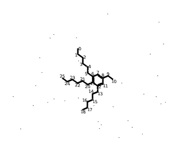 CCCCCCc1cc(CC)cc(CCCCCC)c1CCCCCC